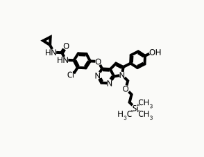 C[Si](C)(C)CCOCn1c(-c2ccc(O)cc2)cc2c(Oc3ccc(NC(=O)NC4CC4)c(Cl)c3)ncnc21